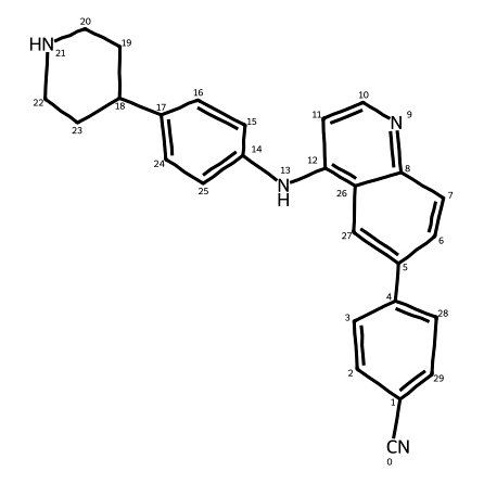 N#Cc1ccc(-c2ccc3nccc(Nc4ccc(C5CCNCC5)cc4)c3c2)cc1